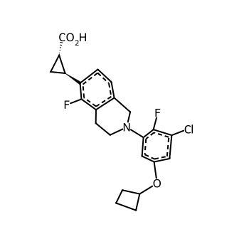 O=C(O)[C@H]1C[C@@H]1c1ccc2c(c1F)CCN(c1cc(OC3CCC3)cc(Cl)c1F)C2